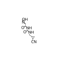 N#CC1CC1CNC(=O)NC(=O)C=NO